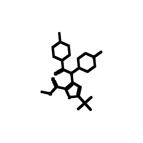 COC(=O)c1sc(C(C)(C)C)cc1N(C(=O)C1CCC(C)CC1)C1CCN(C)CC1